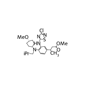 COC(=O)C[C@@H](C)c1ccc(N(CC(C)C)[C@H]2CC[C@@H](OC)CC2)c(Nc2nc(Cl)ns2)c1